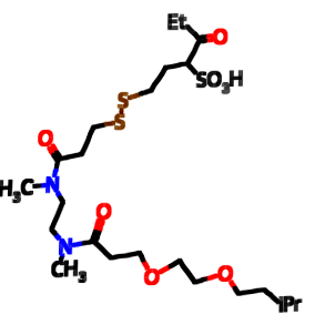 CCC(=O)C(CCSSCCC(=O)N(C)CCN(C)C(=O)CCOCCOCCC(C)C)S(=O)(=O)O